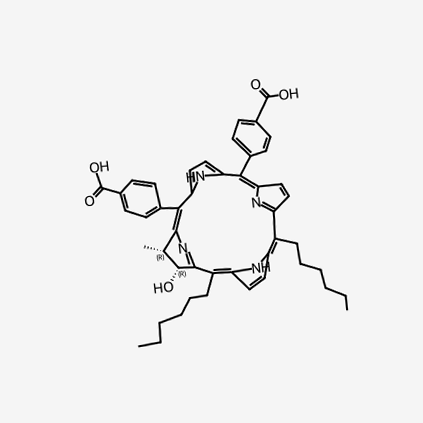 CCCCCCc1c2nc(c(-c3ccc(C(=O)O)cc3)c3ccc([nH]3)c(-c3ccc(C(=O)O)cc3)c3nc(c(CCCCCC)c4ccc1[nH]4)[C@H](O)[C@@H]3C)C=C2